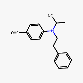 CC(C#N)N(CCc1ccccc1)c1ccc(C=O)cc1